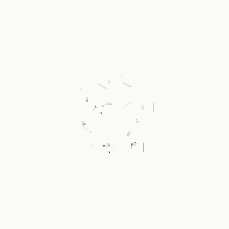 Clc1ccc2cccnc2c1.O=C1CN[C@@H](C(=O)O)C1